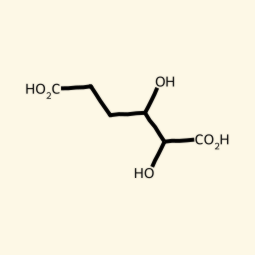 O=C(O)CCC(O)C(O)C(=O)O